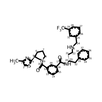 Cc1csc([C@H]2CCCN2C(=O)c2cccc(C(=O)N[C@H](CCNCc3cccc(C(F)(F)F)c3)Cc3ccccc3)c2)n1